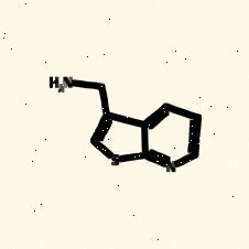 NCc1csc2ncccc12